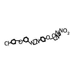 O=[N+]([O-])c1cn2c(n1)OC(COc1ccc(N3CCN(Cc4cccc(OCc5ccc(Cl)cc5)c4)CC3)cc1)CC2